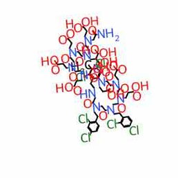 CC1C(Cl)=C(CCNCC(=O)N(CCc2ccc(Cl)cc2Cl)CC(=O)N(CCc2ccc(Cl)cc2Cl)CC(=O)N(CCC(=O)O)CC(=O)N(CCC(=O)O)CC(=O)N(CCC(=O)O)CC(=O)N(CCC(O)O)CC(=O)N(CCC(=O)O)CC(=O)N(CCC(=O)O)CC(=O)N(CCC(=O)O)CC(=O)N(CCC(=O)O)CC(=O)N(CCC(=O)O)CC(N)=O)C=CC1Cl